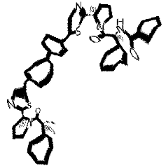 C[C@@H](C(=O)N1CCC[C@H]1c1ncc(-c2ccc(-c3ccc(-c4cnc([C@@H]5CCCN5C(=O)[C@H](NC(=O)C5CCCC5)c5ccccc5)s4)cc3)cc2)s1)c1ccccc1